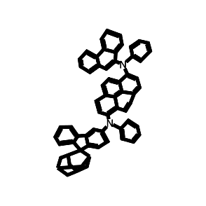 c1ccc(N(c2ccc3c(c2)-c2ccccc2C32C3CC4CC(C3)CC2C4)c2ccc3ccc4c(N(c5ccccc5)c5cc6ccccc6c6ccccc56)ccc5ccc2c3c54)cc1